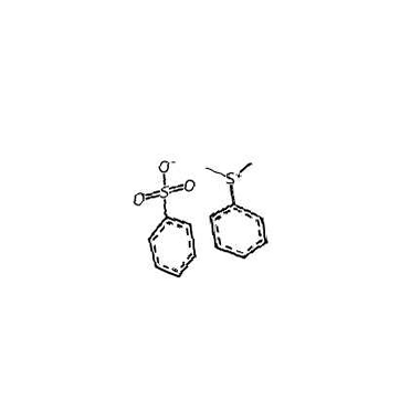 C[S+](C)c1ccccc1.O=S(=O)([O-])c1ccccc1